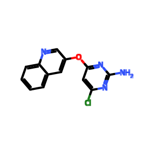 Nc1nc(Cl)cc(Oc2cnc3ccccc3c2)n1